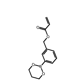 C=CC(=O)OCc1cccc(B2OCCCO2)c1